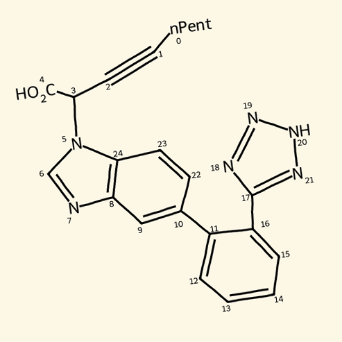 CCCCCC#CC(C(=O)O)n1cnc2cc(-c3ccccc3-c3nn[nH]n3)ccc21